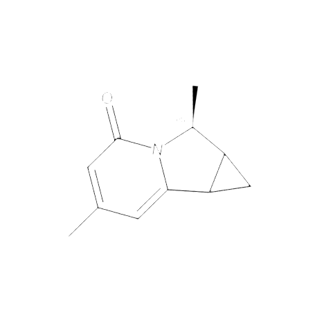 Cc1cc2n(c(=O)c1)[C@@H](C)C1CC21